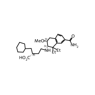 CCC1(CC)c2cc(C(N)=O)ccc2C[C@H](OC)[C@H]1NCC[C@@H](CC1CCCCC1)C(=O)O